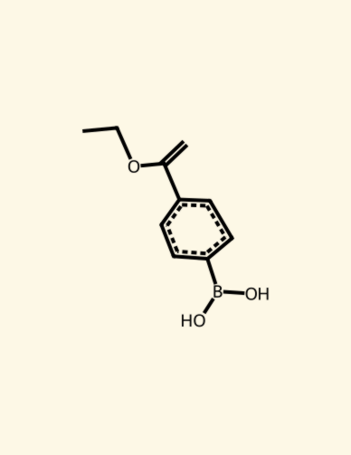 C=C(OCC)c1ccc(B(O)O)cc1